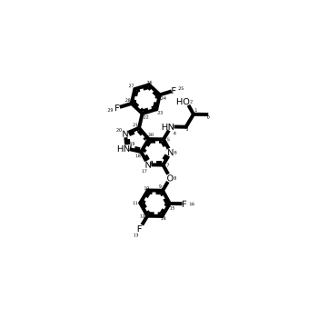 CC(O)CNc1nc(Oc2ccc(F)cc2F)nc2[nH]nc(-c3cc(F)ccc3F)c12